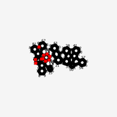 c1ccc2c(c1)-c1ccccc1C21c2ccccc2N(c2cccc3c(-c4cccc5c4-c4ccccc4C54c5ccccc5-c5c4c4ccccc4c4ccccc54)c4cccc(N5c6ccccc6C6(c7ccccc7-c7ccccc76)c6ccccc65)c4cc23)c2ccccc21